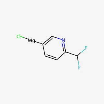 FC(F)c1cc[c]([Mg][Cl])cn1